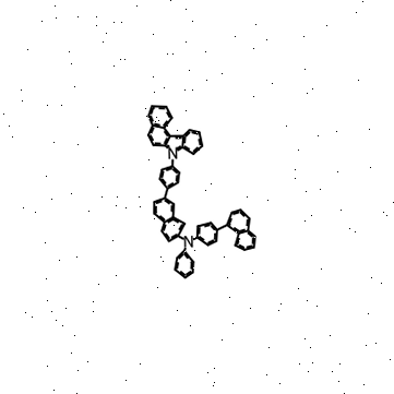 c1ccc(N(c2ccc(-c3cccc4ccccc34)cc2)c2ccc3ccc(-c4ccc(-n5c6ccccc6c6c7ccccc7ccc65)cc4)cc3c2)cc1